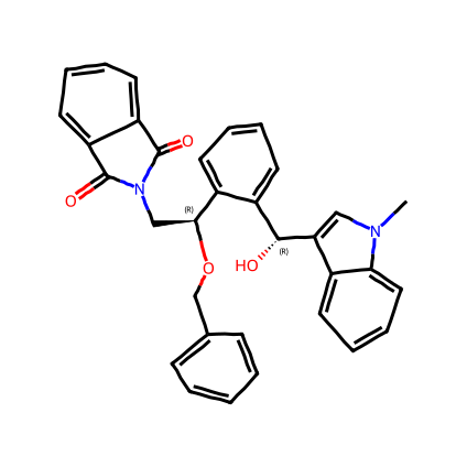 Cn1cc([C@H](O)c2ccccc2[C@H](CN2C(=O)c3ccccc3C2=O)OCc2ccccc2)c2ccccc21